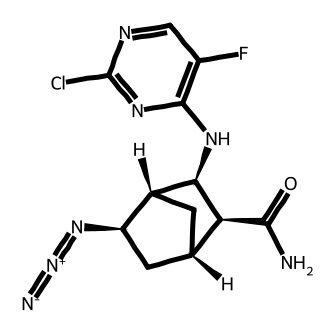 [N-]=[N+]=N[C@@H]1C[C@@H]2C[C@H]1[C@@H](Nc1nc(Cl)ncc1F)[C@H]2C(N)=O